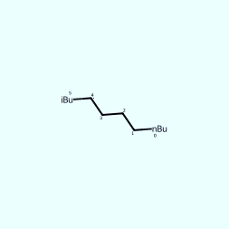 CCCCCCC[CH]C(C)CC